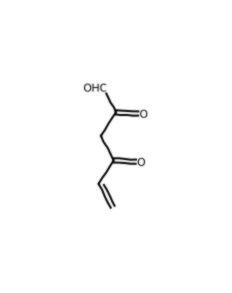 C=CC(=O)CC(=O)C=O